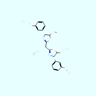 COc1cccc([C@H]2N=C(CC3=N[C@H](c4cccc(OC)c4)C(OC)O3)OC2OC)c1.[Cl-].[Cl-].[Ni+2]